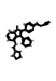 N#CCOc1ccc(-c2[nH]c3ncnc(NCC4CCCO4)c3c2-c2ccccc2)cc1